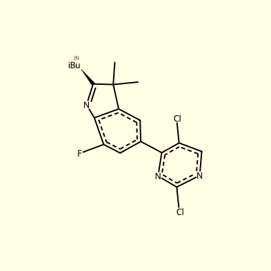 CC[C@H](C)C1=Nc2c(F)cc(-c3nc(Cl)ncc3Cl)cc2C1(C)C